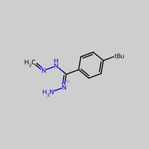 C=NN/C(=N\N)c1ccc(C(C)(C)C)cc1